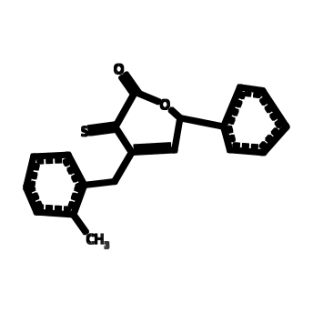 Cc1ccccc1CC1=CC(c2ccccc2)OC(=O)C1=S